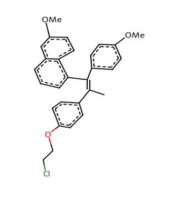 COc1ccc(C(=C(C)c2ccc(OCCCl)cc2)c2cccc3cc(OC)ccc23)cc1